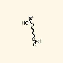 O=C(Cl)OCCCCO[NH+]([O-])O